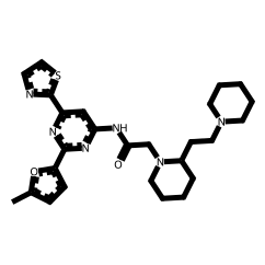 Cc1ccc(-c2nc(NC(=O)CN3CCCCC3CCN3CCCCC3)cc(-c3nccs3)n2)o1